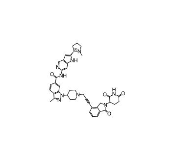 Cc1nn(C2CCN(CC#Cc3cccc4c3CN(C3CCC(=O)NC3=O)C4=O)CC2)c2cc(C(=O)Nc3cc4[nH]c([C@H]5CCCN5C)cc4cn3)ccc12